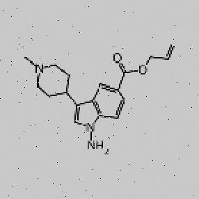 C=CCOC(=O)c1ccc2c(c1)c(C1CCN(C)CC1)cn2N